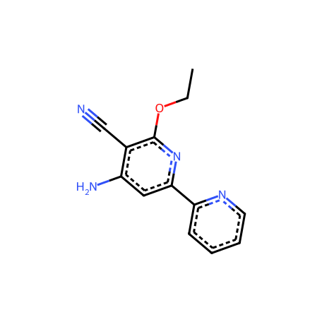 CCOc1nc(-c2ccccn2)cc(N)c1C#N